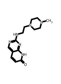 CN1CCN(CCNc2ncc3ccc(=O)[nH]c3n2)CC1